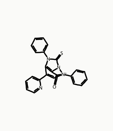 O=C1c2c3n(-c4ccccc4)c(=S)n2[N+]1(c1ccccc1)C=C3c1ccccn1